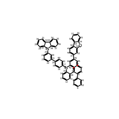 c1ccc(-c2ccccc2-c2ccccc2N(c2ccc(-c3cccc(-n4c5ccccc5c5ccccc54)c3)cc2)c2cccc(-c3ccc4c(c3)oc3ccccc34)c2)cc1